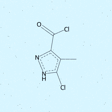 Cc1c(C(=O)Cl)n[nH]c1Cl